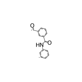 O=[C]c1cccc(C(=O)Nc2c[c]ccc2)c1